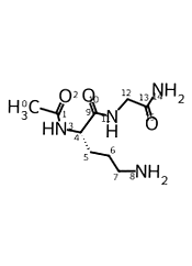 CC(=O)N[C@@H](CCCN)C(=O)NCC(N)=O